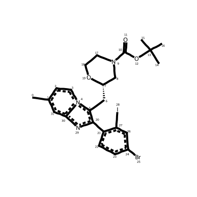 Cc1ccn2c(C[C@H]3CN(C(=O)OC(C)(C)C)CCO3)c(-c3ccc(Br)cc3I)nc2c1